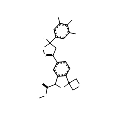 CCNC(=O)C1OC2(CNC2)c2ccc(C3=NSC(c4cc(Cl)c(F)c(Cl)c4)(C(F)(F)F)C3)cc21